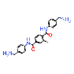 Cc1cc(C(=O)Nc2ccc(CN)cc2)ccc1C(=O)Nc1ccc(CN)cc1